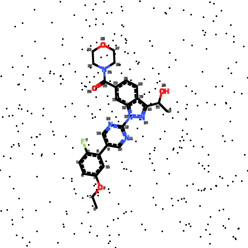 CCOc1ccc(F)c(-c2cnc(-n3nc(C(C)O)c4ccc(C(=O)N5CCOCC5)cc43)nc2)c1